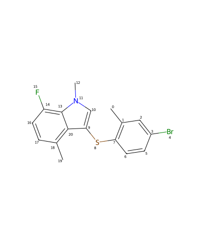 Cc1cc(Br)ccc1Sc1cn(C)c2c(F)ccc(C)c12